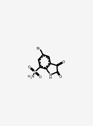 NS(=O)(=O)c1cc(Br)cc2c1NC(=O)C2=O